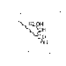 CCCCCCCCCC(=O)CC(=O)O.OCC(O)CO